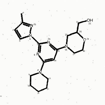 Cc1ccn(-c2nc(N3CCCCC3)cc(N3CCOC(CO)C3)n2)n1